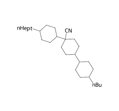 CCCCCCCC1CCC(C2(C#N)CCC(C3CCC(CCCC)CC3)CC2)CC1